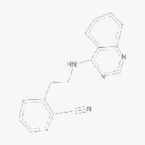 N#Cc1ccccc1CCNc1ncnc2ccccc12